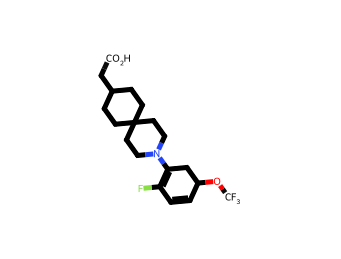 O=C(O)CC1CCC2(CC1)CCN(C1=C(F)C=CC(OC(F)(F)F)C1)CC2